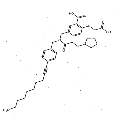 CCCCCCCCC#Cc1ccc(CN(Cc2ccc(OCC(=O)O)c(C(=O)O)c2)C(=O)CCC2CCCC2)cc1